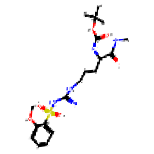 CNC(=O)C(CCCNC(=N)NS(=O)(=O)c1ccccc1OC)NC(=O)OC(C)(C)C